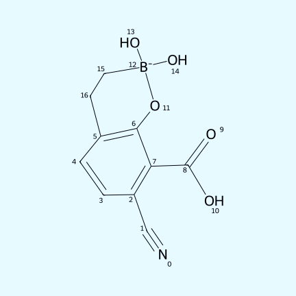 N#Cc1ccc2c(c1C(=O)O)O[B-](O)(O)CC2